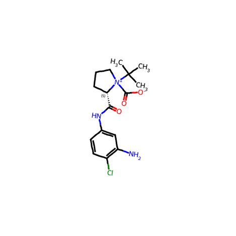 CC(C)(C)[N+]1(C(=O)[O-])CCC[C@H]1C(=O)Nc1ccc(Cl)c(N)c1